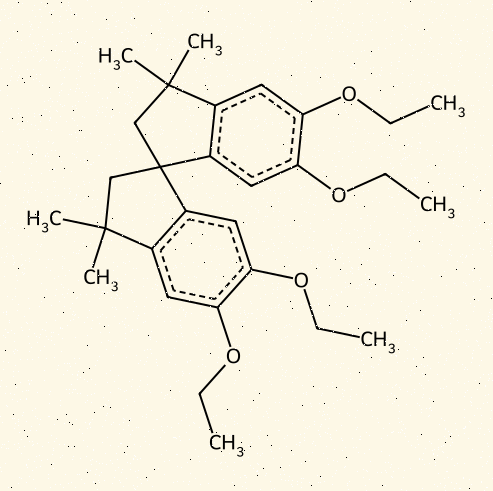 CCOc1cc2c(cc1OCC)C1(CC2(C)C)CC(C)(C)c2cc(OCC)c(OCC)cc21